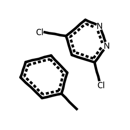 Cc1ccccc1.Clc1cnnc(Cl)c1